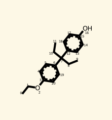 CCOc1ccc(C(CC)(CC)c2ccc(O)cc2)cc1